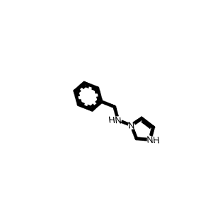 C1=CN(NCc2ccccc2)CN1